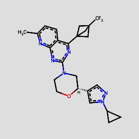 Cc1ccc2c(C34CC(C(F)(F)F)(C3)C4)nc(N3CCO[C@@H](c4cnn(C5CC5)c4)C3)nc2n1